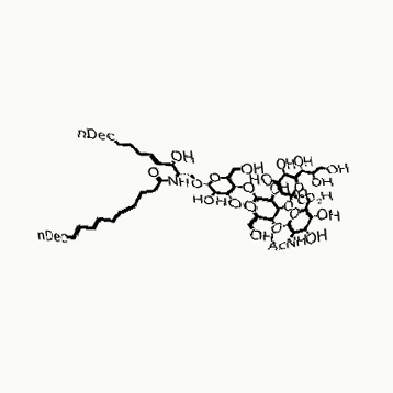 CCCCCCCCCCCCC/C=C/[C@@H](O)[C@H](CO[C@@H]1OC(CO)[C@@H](O[C@@H]2OC(CO)[C@H](O[C@@H]3OC(CO)[C@H](O)[C@H](O)C3NC(C)=O)[C@H](O[C@]3(C(=O)O)CC(O)[C@@H](O)C([C@H](O)[C@H](O)CO)O3)C2O)[C@H](O)C1O)NC(=O)CCCCCCCCCCCCCCCCCCC